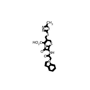 Cc1nnc(SCC2=C(C(=O)O)N3C(=O)C(NC(=O)Cn4ccc5ccccc54)C3SC2)s1